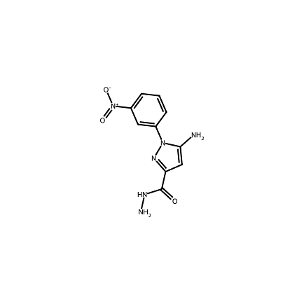 NNC(=O)c1cc(N)n(-c2cccc([N+](=O)[O-])c2)n1